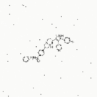 O=C(NCc1ccccc1)c1ccc([C@@H]2C[C@H]3C=C(c4c[nH]c(-c5ccc(F)cc5)c4-c4ccncc4)CCN3C2)cc1